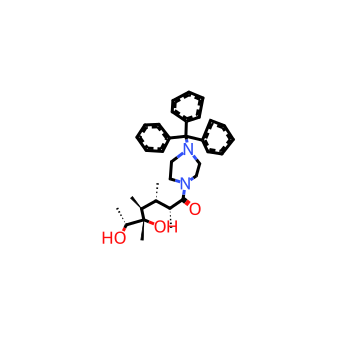 C[C@H]([C@@H](C)C(=O)N1CCN(C(c2ccccc2)(c2ccccc2)c2ccccc2)CC1)[C@H](C)[C@](C)(O)[C@@H](C)O